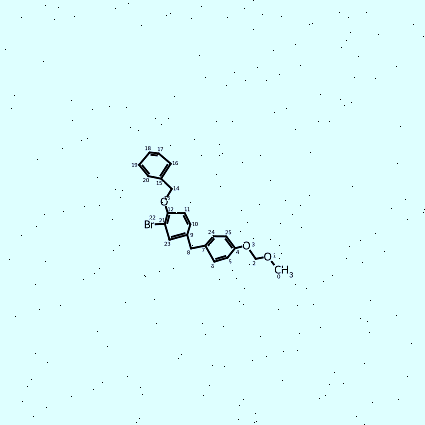 COCOc1ccc(Cc2ccc(OCc3ccccc3)c(Br)c2)cc1